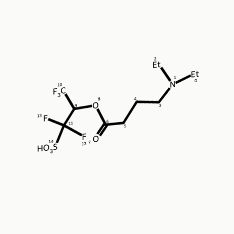 CCN(CC)CCCC(=O)OC(C(F)(F)F)C(F)(F)S(=O)(=O)O